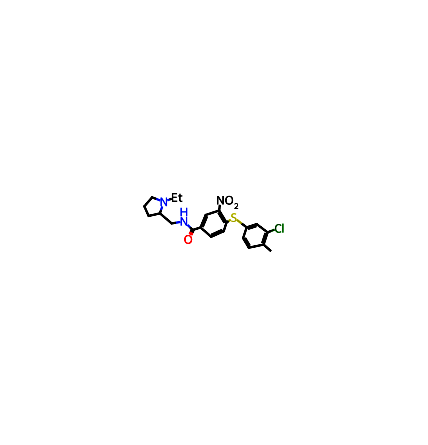 CCN1CCCC1CNC(=O)c1ccc(Sc2ccc(C)c(Cl)c2)c([N+](=O)[O-])c1